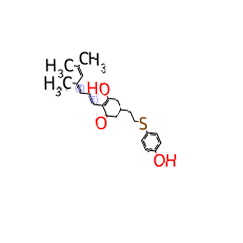 CC(C)=C/C(C)=C\C=C\C1=C(O)CC(CCSc2ccc(O)cc2)CC1=O